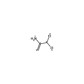 C=C(N)C(Cl)Cl